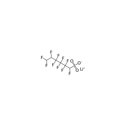 O=S(=O)([O-])C(F)C(F)(F)C(F)(F)C(F)(F)C(F)C(F)F.[Li+]